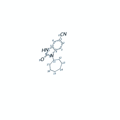 N#Cc1ccc2c(c1)[nH]c(=O)n2C1CCCCCC1